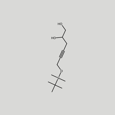 CC(C)(C)[Si](C)(C)OCC#CCC(O)CO